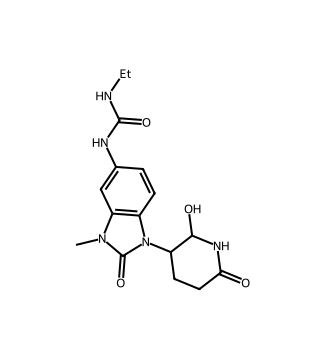 CCNC(=O)Nc1ccc2c(c1)n(C)c(=O)n2C1CCC(=O)NC1O